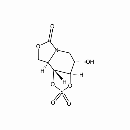 O=C1OC[C@@H]2[C@H]3OS(=O)(=O)O[C@@H]3[C@@H](O)CN12